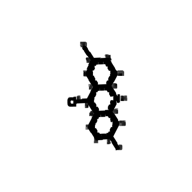 Cc1ccc2c(Cl)c3cc(C)ccc3nc2c1